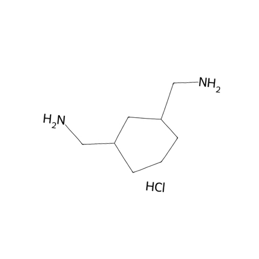 Cl.NCC1CCCC(CN)C1